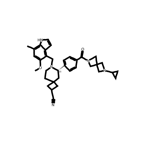 COc1cc(C)c2[nH]ccc2c1CN1CCC2(CC(C#N)C2)C[C@H]1c1ccc(C(=O)N2CC3(C2)CN(C2CC2)C3)cc1